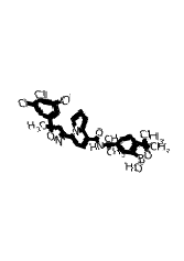 CC(C)(NC(=O)c1ccc(C2=NOC(C)(c3cc(Cl)c(Cl)c(Cl)c3)C2)n2cccc12)c1ccc2c(c1)B(O)OC2(C)C